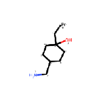 C[C](C)CC1(O)CCC(CN)CC1